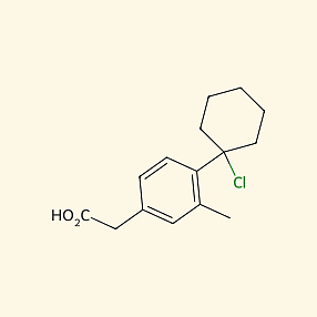 Cc1cc(CC(=O)O)ccc1C1(Cl)CCCCC1